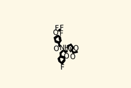 O=C(NC(Cc1ccc(F)cc1)C(=O)N1CCC2OCC(=O)C21)c1ccc(OC(F)(F)F)cc1